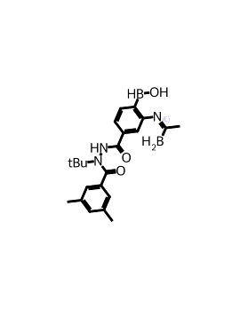 B/C(C)=N\c1cc(C(=O)NN(C(=O)c2cc(C)cc(C)c2)C(C)(C)C)ccc1BO